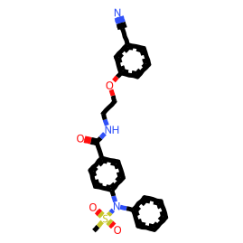 CS(=O)(=O)N(c1ccccc1)c1ccc(C(=O)NCCOc2cccc(C#N)c2)cc1